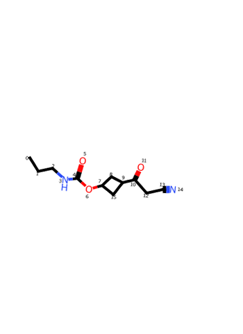 CCCNC(=O)OC1CC(C(=O)CC#N)C1